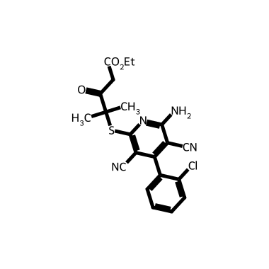 CCOC(=O)CC(=O)C(C)(C)Sc1nc(N)c(C#N)c(-c2ccccc2Cl)c1C#N